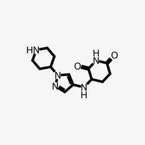 O=C1CCC(Nc2cnn(C3CCNCC3)c2)C(=O)N1